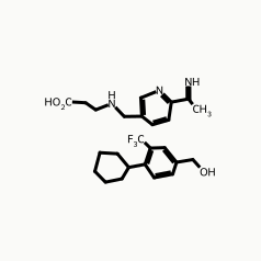 CC(=N)c1ccc(CNCCC(=O)O)cn1.OCc1ccc(C2CCCCC2)c(C(F)(F)F)c1